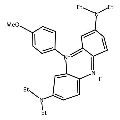 CCN(CC)c1ccc2nc3ccc(N(CC)CC)cc3[n+](-c3ccc(OC)cc3)c2c1.[I-]